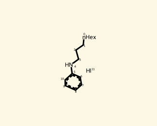 CCCCCCCCCNc1ccccc1.I